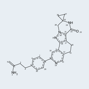 C=C(N)CCc1ccc(-c2cc3c(cn2)CCc2c-3nn3c2C(=O)NC2(CC2)C3)cc1